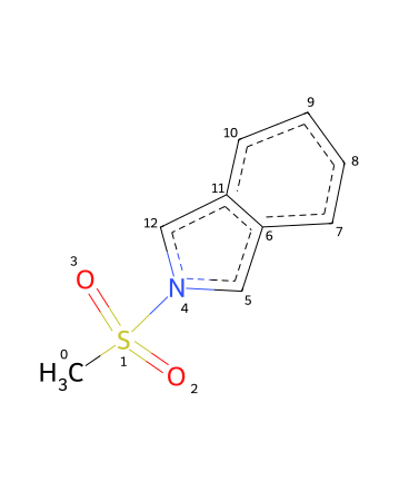 CS(=O)(=O)n1cc2ccccc2c1